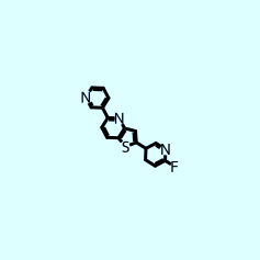 FC1=CCC(c2cc3nc(-c4cccnc4)ccc3s2)C=N1